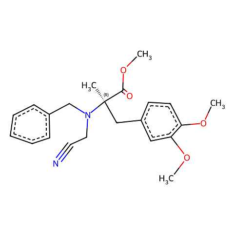 COC(=O)[C@@](C)(Cc1ccc(OC)c(OC)c1)N(CC#N)Cc1ccccc1